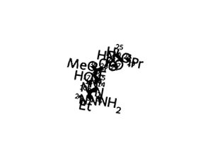 CCN(C)c1nc(N)nc2c1ncn2[C@](C)(F)[C@H](O)C(CO[PH](=O)N[C@@H](C)C(=O)OC(C)C)OC